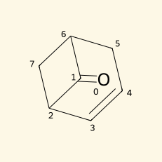 O=C1C2C=CCC1C2